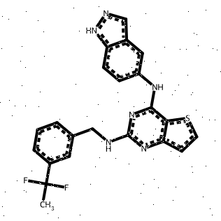 CC(F)(F)c1cccc(CNc2nc(Nc3ccc4[nH]ncc4c3)c3sccc3n2)c1